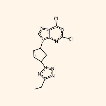 CCc1nnn(C2C=CC(n3cnc4c(Cl)nc(Cl)nc43)C2)n1